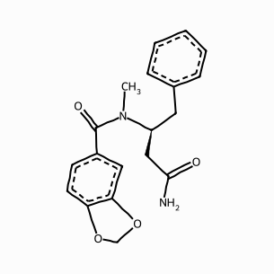 CN(C(=O)c1ccc2c(c1)OCO2)[C@H](CC(N)=O)Cc1ccccc1